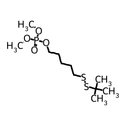 COP(=O)(OC)OCCCCCSSC(C)(C)C